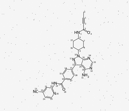 CC#CC(=O)NC1CCC(n2nc(-c3ccc(C(=O)Nc4cc(C#N)ccn4)cc3)c3c(N)ncnc32)CC1